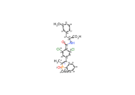 COP(=O)(/C(C)=C/c1cc(Cl)c(C(=O)N[C@@H](Cc2cccc(C)c2)C(=O)O)c(Cl)c1)c1ccccc1